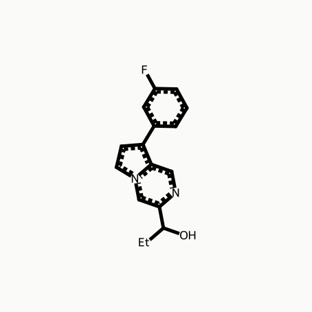 CCC(O)c1cn2ccc(-c3cccc(F)c3)c2cn1